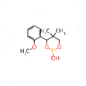 COc1ccccc1C1OP(O)OCC1(C)C